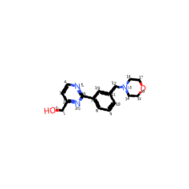 OCc1ccnc(-c2cccc(CN3CCOCC3)c2)n1